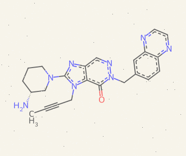 CC#CCn1c(N2CCC[C@@H](N)C2)nc2cnn(Cc3ccc4nccnc4c3)c(=O)c21